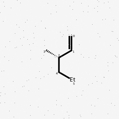 [CH]=C[C@@H](C)CCC